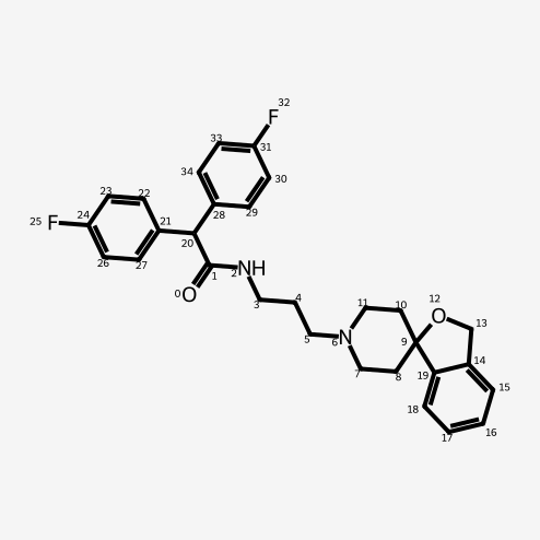 O=C(NCCCN1CCC2(CC1)OCc1ccccc12)C(c1ccc(F)cc1)c1ccc(F)cc1